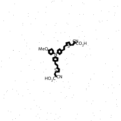 COc1ccc(N(c2ccc(/C=C/c3ccc(/C=C(\C#N)C(=O)O)s3)cc2)c2ccc(/C=C/c3ccc(/C=C(\C#N)C(=O)O)s3)cc2)cc1